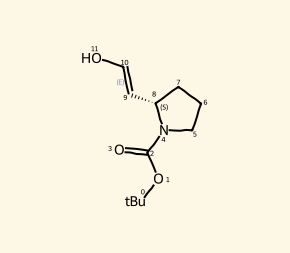 CC(C)(C)OC(=O)N1CCC[C@H]1/C=C/O